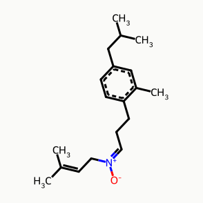 CC(C)=CC/[N+]([O-])=C\CCc1ccc(CC(C)C)cc1C